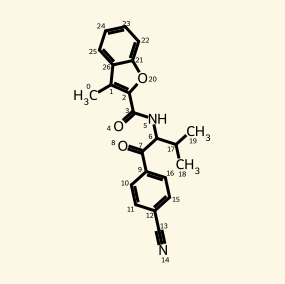 Cc1c(C(=O)NC(C(=O)c2ccc(C#N)cc2)C(C)C)oc2ccccc12